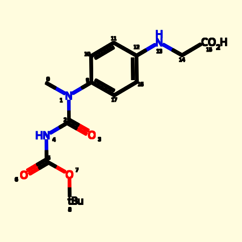 CN(C(=O)NC(=O)OC(C)(C)C)c1ccc(NCC(=O)O)cc1